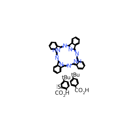 CC(C)(C)c1ccc(C(=O)O)cc1.CC(C)(C)c1ccc(C(=O)O)cc1.[Si].c1ccc2c(c1)-c1nc-2nc2[nH]c(nc3nc(nc4[nH]c(n1)c1ccccc41)-c1ccccc1-3)c1ccccc21